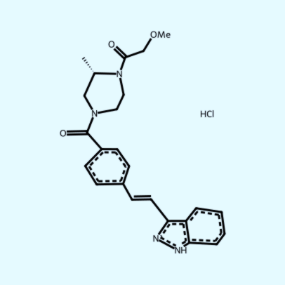 COCC(=O)N1CCN(C(=O)c2ccc(/C=C/c3n[nH]c4ccccc34)cc2)C[C@@H]1C.Cl